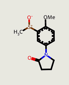 COc1ccc(N2CCCC2=O)cc1[S+](C)[O-]